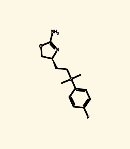 C[Si](C)(CC[C@H]1COC(N)=N1)c1ccc(F)cc1